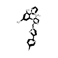 Cc1cc(C=O)c(-n2nccn2)c(N2[C@H](C)CO[C@H]2Cn2ccc(-c3ccc(F)cn3)n2)c1